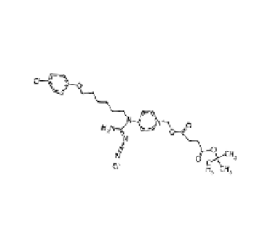 CC(C)(C)OC(=O)CCC(=O)OC[n+]1ccc(N(CCCCCCOc2ccc(Cl)cc2)C(N)=NC#N)cc1.[Cl-]